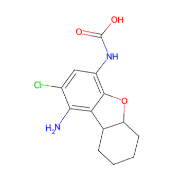 Nc1c(Cl)cc(NC(=O)O)c2c1C1CCCCC1O2